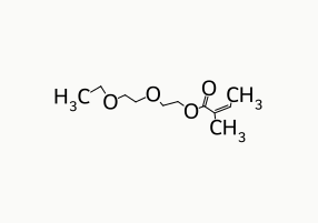 CC=C(C)C(=O)OCCOCCOCC